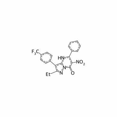 CCc1nn2c(=O)c([N+](=O)[O-])c(-c3ccccc3)[nH]c2c1-c1ccc(C(F)(F)F)cc1